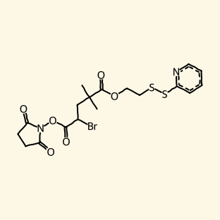 CC(C)(CC(Br)C(=O)ON1C(=O)CCC1=O)C(=O)OCCSSc1ccccn1